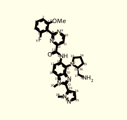 COc1cccc(F)c1-c1nccc(C(=O)Nc2ccc3c(nc(-c4ccnn4C)n3C)c2N2CCC[C@H]2CN)n1